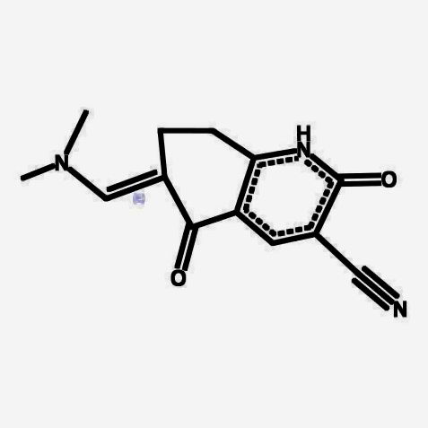 CN(C)/C=C1\CCc2[nH]c(=O)c(C#N)cc2C1=O